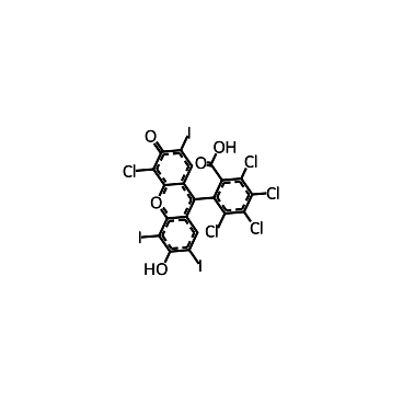 O=C(O)c1c(Cl)c(Cl)c(Cl)c(Cl)c1-c1c2cc(I)c(=O)c(Cl)c-2oc2c(I)c(O)c(I)cc12